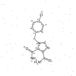 NC(=O)c1ncn(Cc2ccc(Cl)cc2)c1C(N)=O